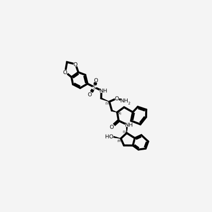 NO[C@H](CNS(=O)(=O)c1ccc2c(c1)OCO2)C[C@@H](Cc1ccccc1)C(=O)N[C@H]1c2ccccc2C[C@H]1O